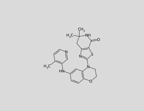 Cc1ccncc1Nc1ccc2c(c1)N(c1nc3c(s1)C(=O)NC(C)(C)C3)CCO2